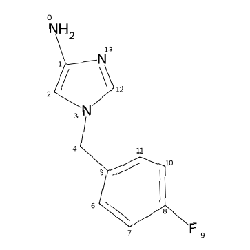 Nc1cn(Cc2ccc(F)cc2)cn1